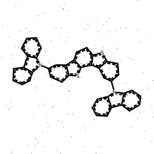 c1ccc2c(c1)c1ccccc1n2-c1ccc2sc3c(ccc4sc5ccc(-n6c7ccccc7c7ccccc76)cc5c43)c2c1